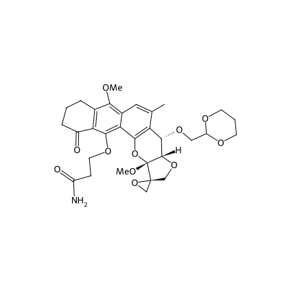 COc1c2c(c(OCCC(N)=O)c3c4c(c(C)cc13)[C@H](OCC1OCCCO1)[C@@H]1OC[C@]3(CO3)[C@]1(OC)O4)C(=O)CCC2